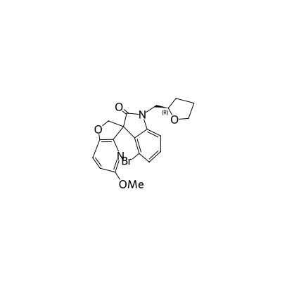 COc1ccc2c(n1)C1(CO2)C(=O)N(C[C@H]2CCCO2)c2cccc(Br)c21